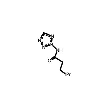 CC(C)CCC(=O)Nn1ncnn1